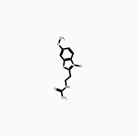 COc1ccc2c(c1)sc(CCNC(C)=O)[n+]2[O-]